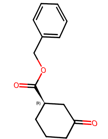 O=C1CCC[C@@H](C(=O)OCc2ccccc2)C1